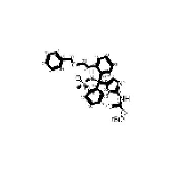 CC(C)(C)OC(=O)Nc1ncc([C@](NS(C)(=O)=O)(c2ccccc2)c2ccccc2CCOCc2ccccc2)s1